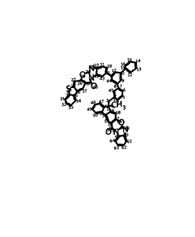 CC1(Cc2cccc(-c3cc(-c4ccccc4)cc(-c4ccc5nc6oc7cc8sc9ccccc9c8cc7c(=O)n6c5c4)c3)c2)c2ccccc2-c2cc3c(=O)n4c(nc5ccccc54)oc3cc21